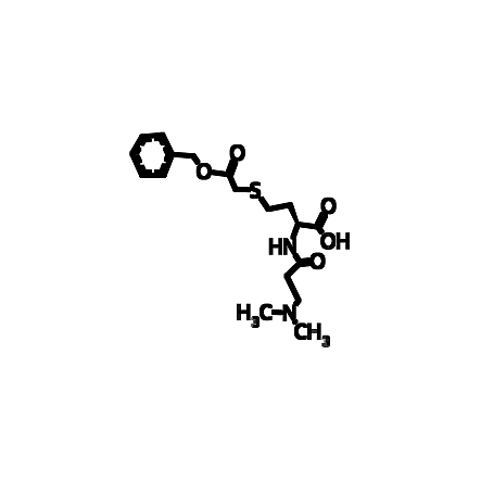 CN(C)CCC(=O)N[C@@H](CCSCC(=O)OCc1ccccc1)C(=O)O